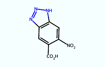 O=C(O)c1cc2nn[nH]c2cc1[N+](=O)[O-]